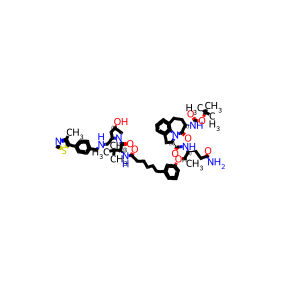 Cc1ncsc1-c1ccc(CNCC2C[C@@H](O)CN2C(=O)[C@@H](NC(=O)CCCCCc2cccc(O[C@H](C)[C@H](CCC(N)=O)NC(=O)[C@@H]3Cc4cccc5c4N3C(=O)[C@@H](NC(=O)OC(C)(C)C)CC5)c2)C(C)(C)C)cc1